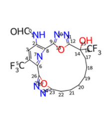 O=CNc1cc(C(F)(F)F)c2nc1-c1nnc(o1)C(O)(C(F)(F)F)CCCCCCc1nnc-2o1